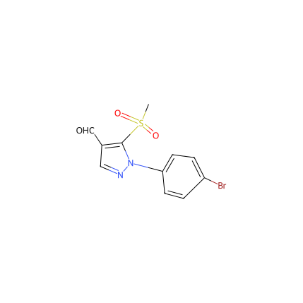 CS(=O)(=O)c1c(C=O)cnn1-c1ccc(Br)cc1